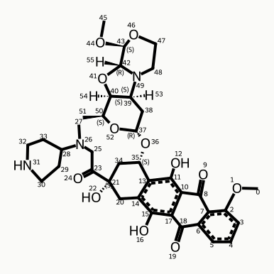 COc1cccc2c1C(=O)c1c(O)c3c(c(O)c1C2=O)C[C@@](O)(C(=O)CN(C)C1CCNCC1)C[C@@H]3O[C@H]1C[C@H]2[C@H](O[C@@H]3[C@@H](OC)OCCN32)[C@H](C)O1